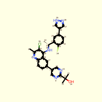 Cc1nc2ccc(-c3cnc(C(C)(C)O)nc3)cc2c(N[C@H](C)c2cc(-c3cn[nH]c3)ccc2F)c1Cl